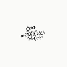 Cc1cccc(C)c1C1CCN(Cc2c(-c3ccccc3)n(CCO)c3ccccc23)CC1.Cl